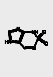 O=S1(=O)N=Cc2[nH]cnc2N1